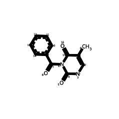 CC1=C[N]C(=O)N(C(=O)c2ccccc2)C1=O